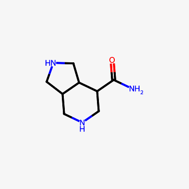 NC(=O)C1CNCC2CNCC21